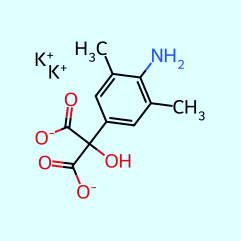 Cc1cc(C(O)(C(=O)[O-])C(=O)[O-])cc(C)c1N.[K+].[K+]